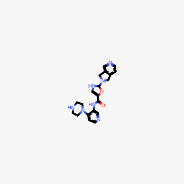 O=C(Nc1cnccc1N1CCNCC1)C1=CNC(N2Cc3ccncc3C2)O1